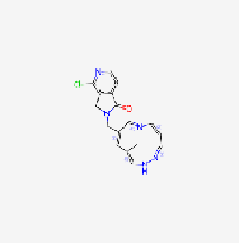 CC1=C/N\N=C/C=C\N=C\C(CN2Cc3c(ccnc3Cl)C2=O)=C/1